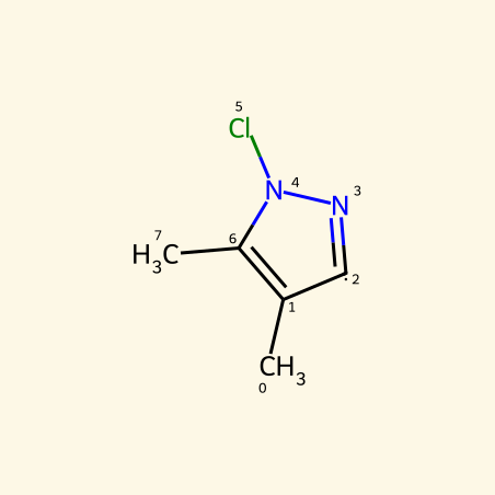 Cc1[c]nn(Cl)c1C